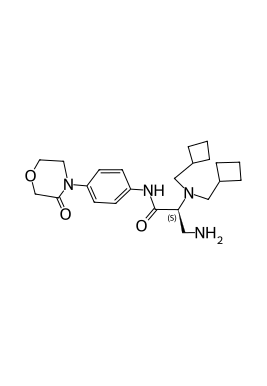 NC[C@@H](C(=O)Nc1ccc(N2CCOCC2=O)cc1)N(CC1CCC1)CC1CCC1